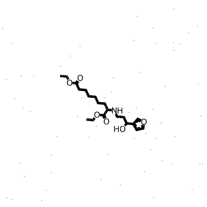 CCOC(=O)CCCCCCC(NCCC(O)c1ccoc1)C(=O)OCC